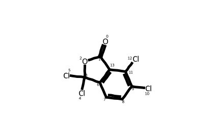 O=C1OC(Cl)(Cl)c2ccc(Cl)c(Cl)c21